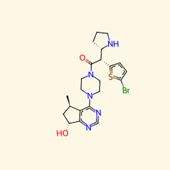 C[C@@H]1C[C@@H](O)c2ncnc(N3CCN(C(=O)[C@@H](c4ccc(Br)s4)[C@@H]4CCCN4)CC3)c21